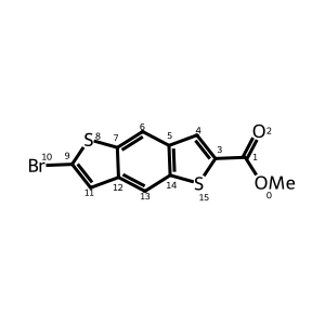 COC(=O)c1cc2cc3sc(Br)cc3cc2s1